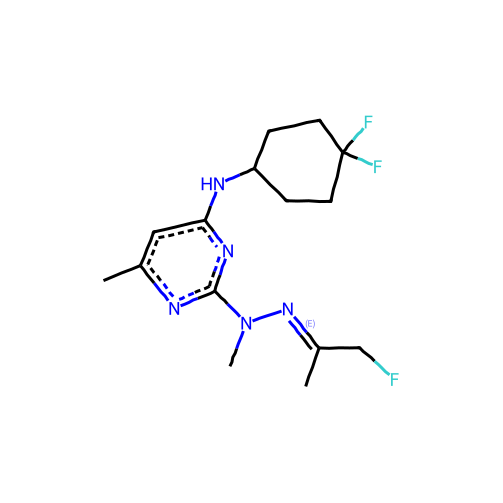 C/C(CF)=N\N(C)c1nc(C)cc(NC2CCC(F)(F)CC2)n1